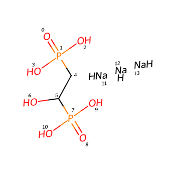 O=P(O)(O)CC(O)P(=O)(O)O.[NaH].[NaH].[NaH]